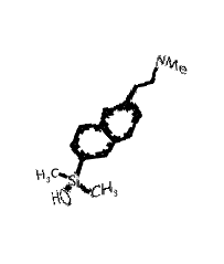 CNCCc1ccc2cc([Si](C)(C)O)ccc2c1